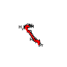 CCCCc1nc2c(N)nc3cc(CCCN4CCN(C(=O)CCOCCOCCOCCOCCNC(=O)O[C@H]5CC[C@@]6(C)C(=CC[C@H]7[C@@H]8CC[C@H]([C@H](C)CCCC(C)C)[C@@]8(C)CC[C@@H]76)C5)CC4)ccc3c2n1CC(C)(CO)CO